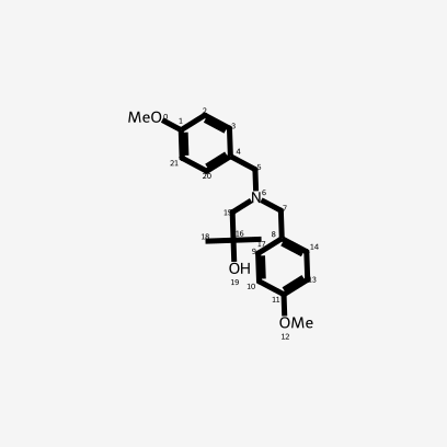 COc1ccc(CN(Cc2ccc(OC)cc2)CC(C)(C)O)cc1